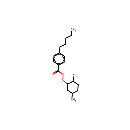 CCCCCc1ccc(C(=O)OO[C]2CC(C)CCC2C)cc1